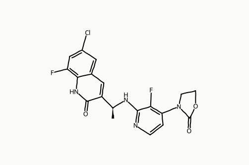 C[C@H](Nc1nccc(N2CCOC2=O)c1F)c1cc2cc(Cl)cc(F)c2[nH]c1=O